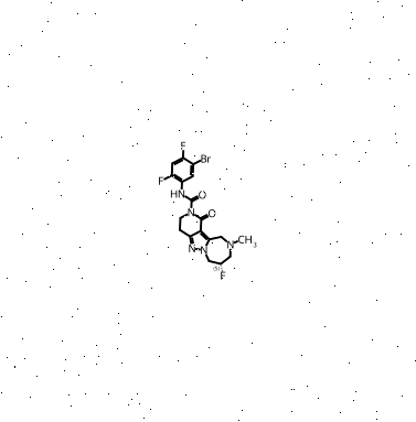 CN1Cc2c3c(nn2C[C@@H](F)C1)CCN(C(=O)Nc1cc(Br)c(F)cc1F)C3=O